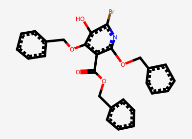 O=C(OCc1ccccc1)c1c(OCc2ccccc2)nc(Br)c(O)c1OCc1ccccc1